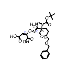 CN(C(=O)OC(C)(C)C)[C@@]1(/C(N)=N/O/C(=C/C(=O)O)C(=O)O)CC[C@@H](COCc2ccccc2)OC1